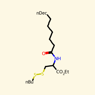 CCCCCCCCCCCCCCCC(=O)NC(CSSCCCC)C(=O)OCC